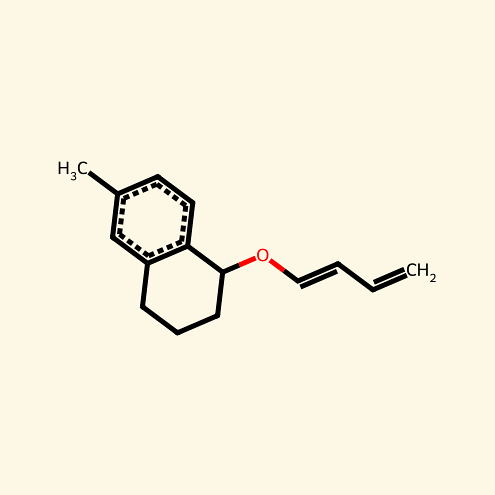 C=CC=COC1CCCc2cc(C)ccc21